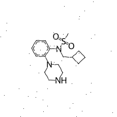 CS(=O)(=O)N(CC1CCC1)c1ccccc1N1CCNCC1